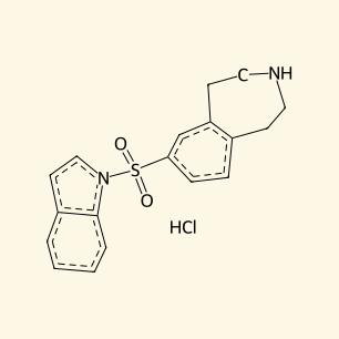 Cl.O=S(=O)(c1ccc2c(c1)CCNCC2)n1ccc2ccccc21